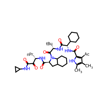 CCC[C@H](NC(=O)[C@@H]1CC2CCCCC2N1C(=O)[C@@H](NC(=O)[C@@H](NC(=O)c1[nH]c(C)c(C)c1C(C)=O)C1CCCCC1)C(C)(C)C)C(=O)C(=O)NC1CC1